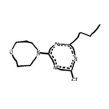 CCCc1nc(Cl)nc(N2CCOCC2)n1